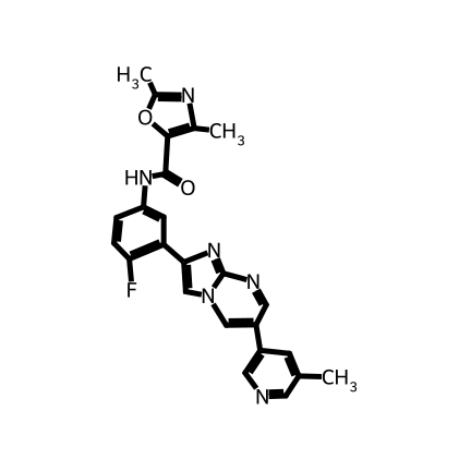 Cc1cncc(-c2cnc3nc(-c4cc(NC(=O)c5oc(C)nc5C)ccc4F)cn3c2)c1